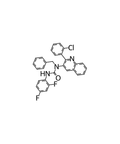 O=C(Nc1ccc(F)cc1F)N(Cc1ccccc1)c1cc2ccccc2nc1-c1ccccc1Cl